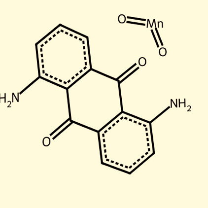 Nc1cccc2c1C(=O)c1cccc(N)c1C2=O.[O]=[Mn]=[O]